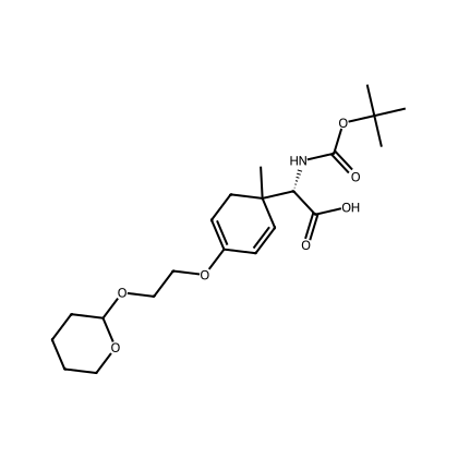 CC(C)(C)OC(=O)N[C@H](C(=O)O)C1(C)C=CC(OCCOC2CCCCO2)=CC1